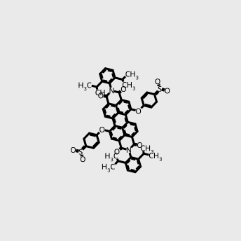 CC(C)c1cccc(C(C)C)c1N1C(=O)c2ccc3c4c(OC5=CCC(=S(=O)=O)C=C5)cc5c6c(ccc(c7c(OC8=CCC(=S(=O)=O)C=C8)cc(c2c37)C1=O)c64)C(=O)N(c1c(C(C)C)cccc1C(C)C)C5=O